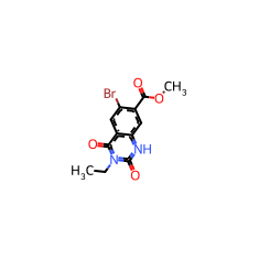 CCn1c(=O)[nH]c2cc(C(=O)OC)c(Br)cc2c1=O